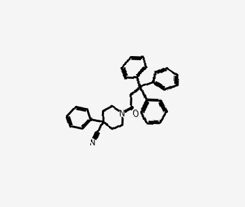 N#CC1(c2ccccc2)CCN(C(=O)CC(c2ccccc2)(c2ccccc2)c2ccccc2)CC1